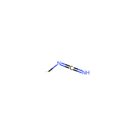 [CH2]N=C=N